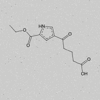 CCOC(=O)c1cc(C(=O)CCCC(=O)O)c[nH]1